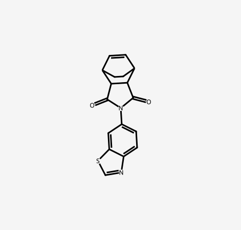 O=C1C2C3C=CC(CC3)C2C(=O)N1c1ccc2ncsc2c1